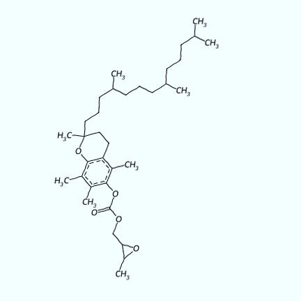 Cc1c(C)c2c(c(C)c1OC(=O)OCC1OC1C)CCC(C)(CCCC(C)CCCC(C)CCCC(C)C)O2